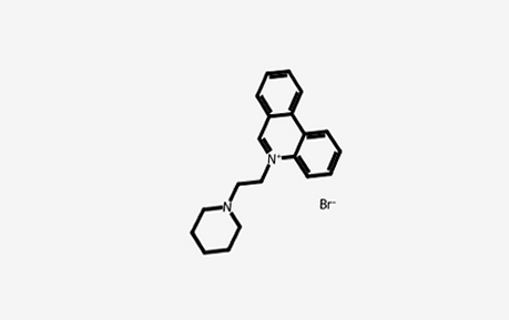 [Br-].c1ccc2c(c1)c[n+](CCN1CCCCC1)c1ccccc21